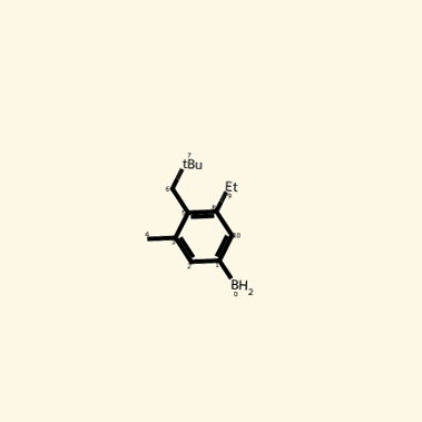 Bc1cc(C)c(CC(C)(C)C)c(CC)c1